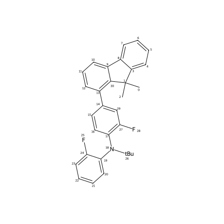 CC1(C)c2ccccc2-c2cccc(-c3ccc(N(c4ccccc4F)C(C)(C)C)c(F)c3)c21